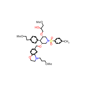 COCCCN1CCOc2ccc(CO[C@H]3CN(S(=O)(=O)c4ccc(C)cc4)C[C@@H](OCC(O)COC)[C@@H]3c3ccc(CCOC)cc3)cc21